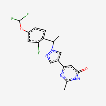 Cc1nc(-c2cnn(C(C)c3ccc(OC(F)F)cc3F)c2)cc(=O)[nH]1